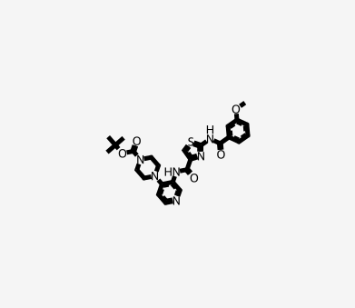 COc1cccc(C(=O)Nc2nc(C(=O)Nc3cnccc3N3CCN(C(=O)OC(C)(C)C)CC3)cs2)c1